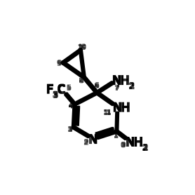 NC1=NC=C(C(F)(F)F)C(N)(C2CC2)N1